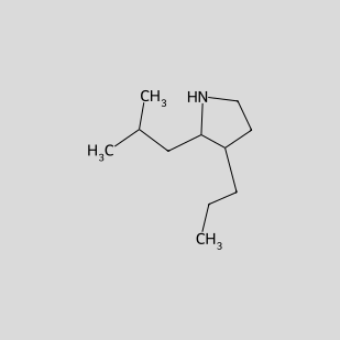 CCCC1CCNC1CC(C)C